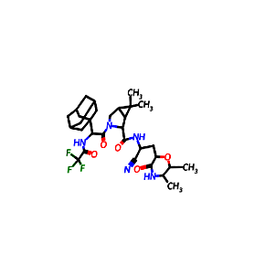 CC1NC(=O)C(CC(C#N)NC(=O)C2C3C(CN2C(=O)C(NC(=O)C(F)(F)F)C24CC5CC(CC(C5)C2)C4)C3(C)C)OC1C